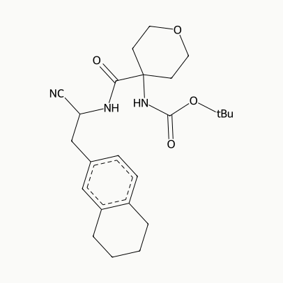 CC(C)(C)OC(=O)NC1(C(=O)NC(C#N)Cc2ccc3c(c2)CCCC3)CCOCC1